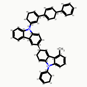 Cc1cccc2c1c1c(n2C2=C=C=CCC2)=CC[C@@H](c2ccc3c(c2)c2ccccc2n3C2=CC(C3=CCC(c4ccccc4)C=C3)=CCC2)C=1